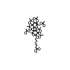 COC(=O)CCSCCO[C@@H]1O[C@H](COC(C)=O)[C@H](O[C@H]2O[C@H](COC(C)=O)[C@H](OC(C)=O)[C@H](OC(C)=O)[C@H]2OC(C)=O)[C@H](OC(C)=O)[C@H]1OC(C)=O